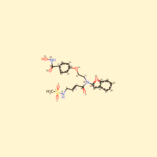 CS(=O)(=O)NC/C=C/C(=O)N(CCOc1ccc(C(=O)NO)cc1)c1cc2ccccc2o1